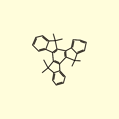 CC1(C)c2ccccc2-c2c1c1c(c3c2C(C)(C)c2ccccc2-3)C(C)(C)c2ccccc2-1